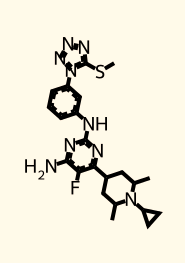 CSc1nnnn1-c1cccc(Nc2nc(N)c(F)c(C3CC(C)N(C4CC4)C(C)C3)n2)c1